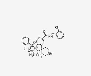 CC(=O)[N+]1(S(=O)(=O)c2ccccc2Cl)c2ccc(C(=O)NCc3ccccc3Cl)cc2C2(CCNCC2)C1C